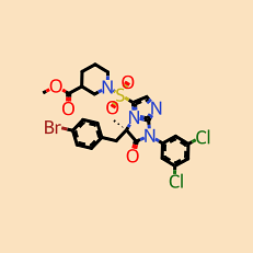 COC(=O)C1CCCN(S(=O)(=O)c2cnc3n2[C@](C)(Cc2ccc(Br)cc2)C(=O)N3c2cc(Cl)cc(Cl)c2)C1